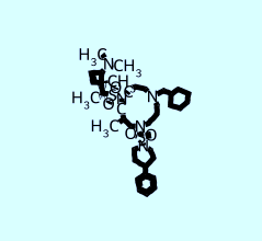 CC1CN(S(=O)(=O)[C@H](C)[C@]2(C)C=CC2N(C)C)CCCN(CC2CCCCC2)CCCN(S(=O)(=O)N2CCC(c3ccccc3)CC2)C1